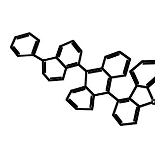 c1ccc(-c2cccc3c(-c4c5ccccc5c(-c5cccc6oc7ccccc7c56)c5ccccc45)cccc23)cc1